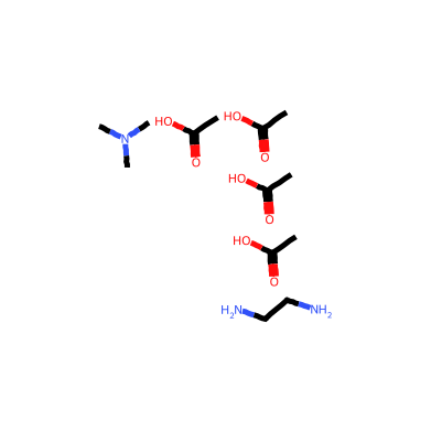 CC(=O)O.CC(=O)O.CC(=O)O.CC(=O)O.CN(C)C.NCCN